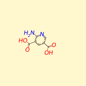 Nc1ncc(C(=O)O)cc1C(=O)O